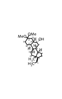 C/C=C1/CC[C@H]2[C@@H]3C[C@@H](O)[C@H]4CC(OC)(OC)CC[C@@H]4[C@H]3CC[C@]12C